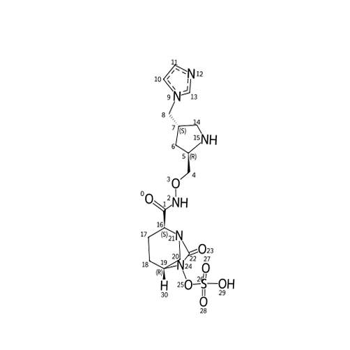 O=C(NOC[C@H]1C[C@H](Cn2ccnc2)CN1)[C@@H]1CC[C@@H]2CN1C(=O)N2OS(=O)(=O)O